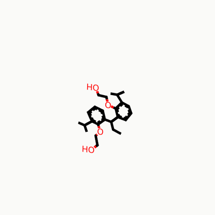 CCC(c1cccc(C(C)C)c1OCCO)c1cccc(C(C)C)c1OCCO